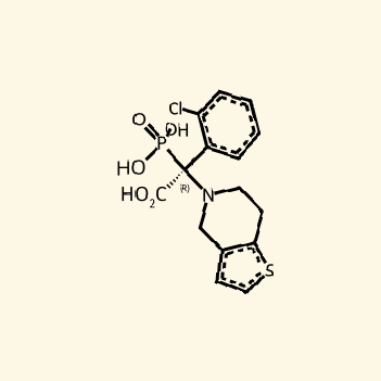 O=C(O)[C@](c1ccccc1Cl)(N1CCc2sccc2C1)P(=O)(O)O